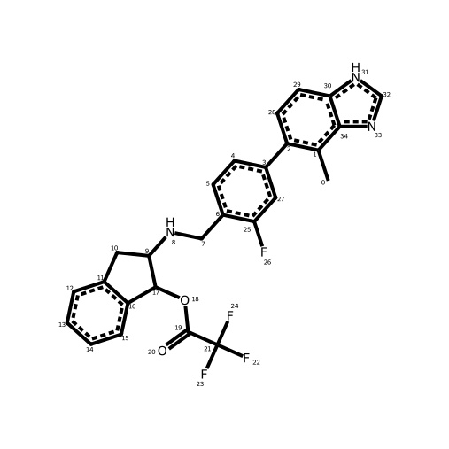 Cc1c(-c2ccc(CNC3Cc4ccccc4C3OC(=O)C(F)(F)F)c(F)c2)ccc2[nH]cnc12